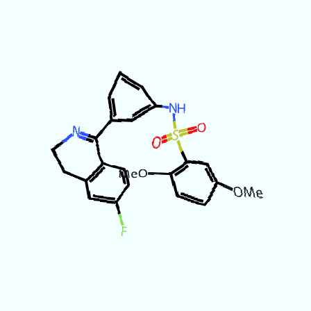 COc1ccc(OC)c(S(=O)(=O)Nc2cccc(C3=NCCc4cc(F)ccc43)c2)c1